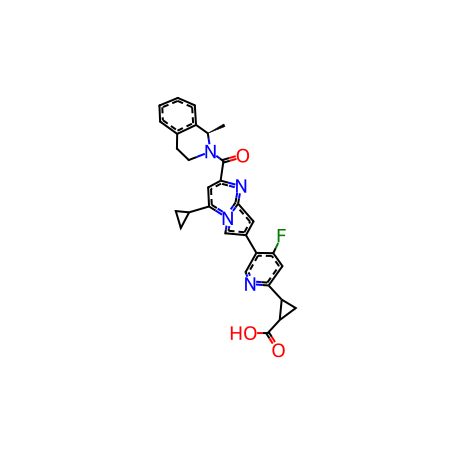 C[C@@H]1c2ccccc2CCN1C(=O)c1cc(C2CC2)n2cc(-c3cnc(C4CC4C(=O)O)cc3F)cc2n1